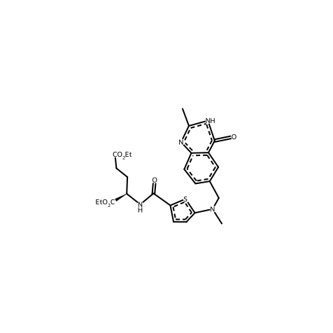 CCOC(=O)CC[C@@H](NC(=O)c1ccc(N(C)Cc2ccc3nc(C)[nH]c(=O)c3c2)s1)C(=O)OCC